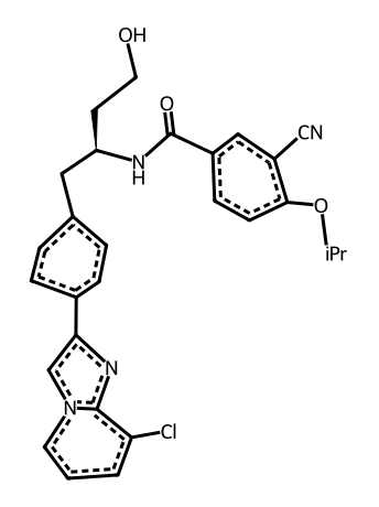 CC(C)Oc1ccc(C(=O)N[C@H](CCO)Cc2ccc(-c3cn4cccc(Cl)c4n3)cc2)cc1C#N